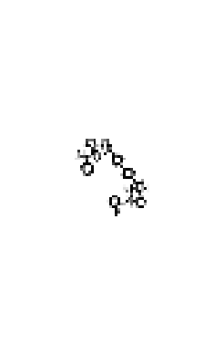 CN(C)[C@@H](C(=O)N1CCC[C@H]1c1ncc(-c2ccc(-c3ccc(-c4cnc([C@@H]5CCCN5C(=O)Cc5ccccc5F)[nH]4)cc3)cc2)[nH]1)c1ccccc1